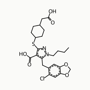 CCCCn1nc(SC2CCC(CC(=O)O)CC2)c(C(=O)O)c1Cc1cc2c(cc1Cl)OCO2